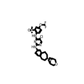 CP(C)(=O)c1cc(OC(F)F)ccc1Nc1nc(Nc2ccc3c(c2)CC[C@@H](N2C4CCC2COC4)CC3)ncc1Cl